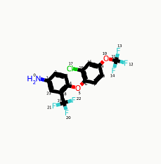 Nc1ccc(Oc2ccc(OC(F)(F)F)cc2Cl)c(C(F)(F)F)c1